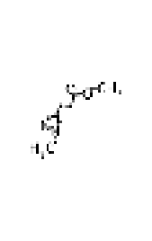 CCOC(=O)CCc1cnn(CC)c1